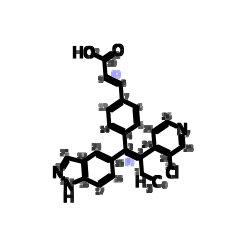 CC/C(=C(/c1ccc(/C=C/C(=O)O)cc1)c1ccc2[nH]ncc2c1)c1ccncc1Cl